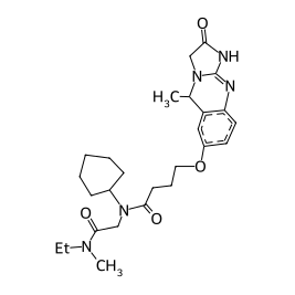 CCN(C)C(=O)CN(C(=O)CCCOc1ccc2c(c1)C(C)N1CC(=O)NC1=N2)C1CCCCC1